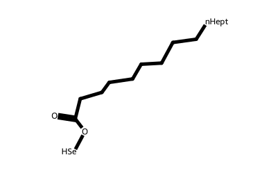 CCCCCCCCCCCCCCCC(=O)O[SeH]